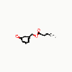 CCCC(=O)OCC1=CC=CC(=O)C1